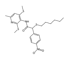 CCCCCCSC(C(=O)Nc1c(SC)cc(C)nc1SC)c1ccc([N+](=O)[O-])cc1